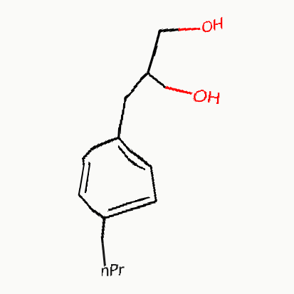 CCCc1ccc(CC(O)CO)cc1